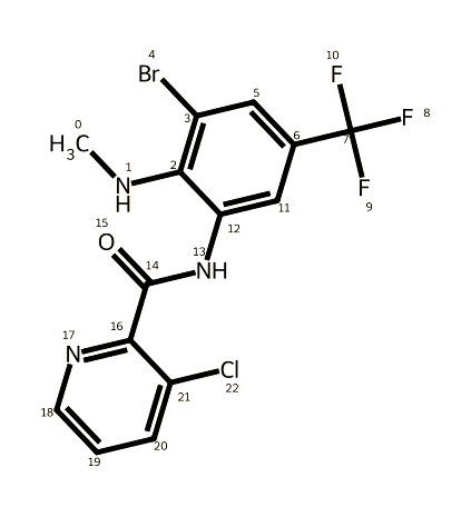 CNc1c(Br)cc(C(F)(F)F)cc1NC(=O)c1ncccc1Cl